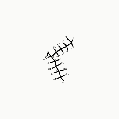 FC(F)(F)C(F)(F)C(F)(F)C(F)(F)C1(C(F)(F)C(F)(F)C(F)(F)C(F)(F)F)CO1